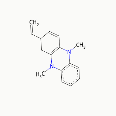 C=CC1C=CC2=C(C1)N(C)c1ccccc1N2C